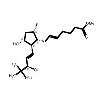 CCCCC(C)(C)[C@H](O)C=C[C@@H]1[C@@H](CC=CCCCC(=O)OC)[C@@H](F)C[C@H]1O